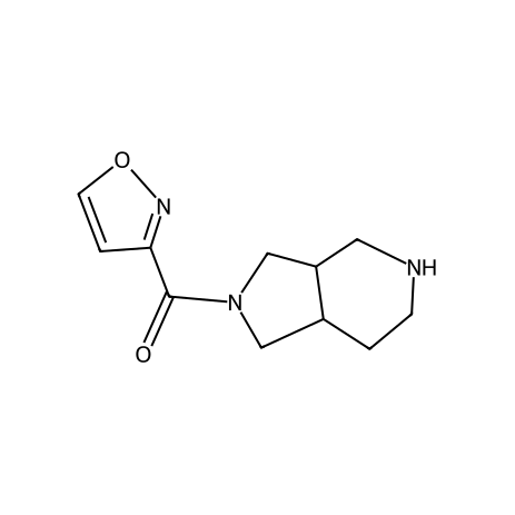 O=C(c1ccon1)N1CC2CCNCC2C1